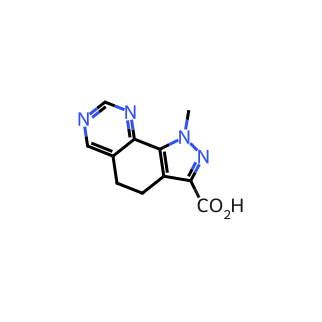 Cn1nc(C(=O)O)c2c1-c1ncncc1CC2